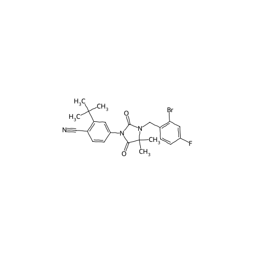 CC(C)(C)c1cc(N2C(=O)N(Cc3ccc(F)cc3Br)C(C)(C)C2=O)ccc1C#N